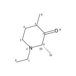 CCN1CCC(C)C(=O)[C@@H]1C